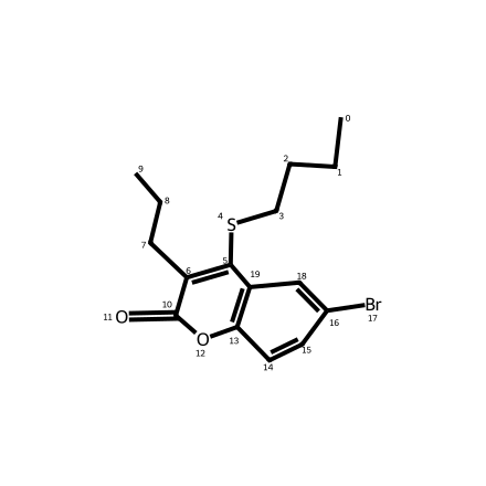 CCCCSc1c(CCC)c(=O)oc2ccc(Br)cc12